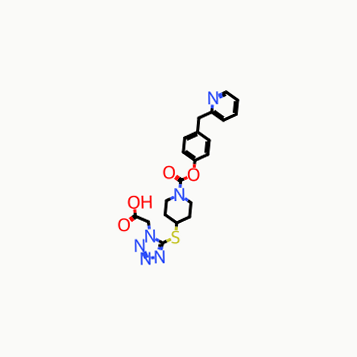 O=C(O)Cn1nnnc1SC1CCN(C(=O)Oc2ccc(Cc3ccccn3)cc2)CC1